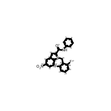 O=C(Nc1ccccc1)c1cc2cc([N+](=O)[O-])ccc2n1Cc1c(F)cccc1F